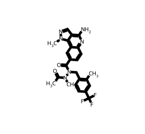 CC(=O)N(C)N(Cc1ccc(C(F)(F)F)cc1C)C(=O)c1ccc2nc(N)c3cnn(C)c3c2c1